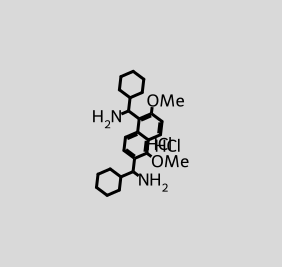 COc1ccc2c(OC)c(C(N)C3CCCCC3)ccc2c1C(N)C1CCCCC1.Cl.Cl